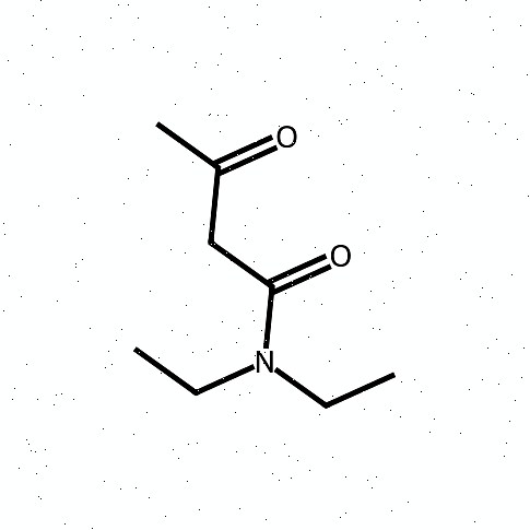 CCN(CC)C(=O)CC(C)=O